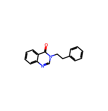 O=c1c2ccccc2ncn1CCc1ccccc1